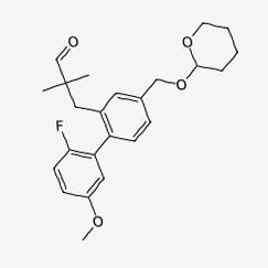 COc1ccc(F)c(-c2ccc(COC3CCCCO3)cc2CC(C)(C)C=O)c1